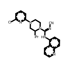 CC(C)C1CN(c2cccc(Cl)n2)CCN1/C(=N\C#N)Nc1cccc2ncccc12